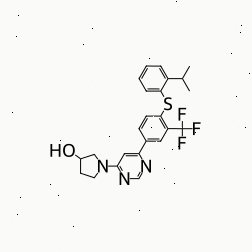 CC(C)c1ccccc1Sc1ccc(-c2cc(N3CCC(O)C3)ncn2)cc1C(F)(F)F